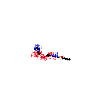 CCCCCCCC(=O)SCCNC(=O)CCNC(=O)C(O)C(C)(C)COP(=O)(O)OP(=O)(O)OC[C@H]1O[C@@H](n2cnc3c(N)ncnc32)[C@H](O)[C@@H]1OP(=O)(O)O